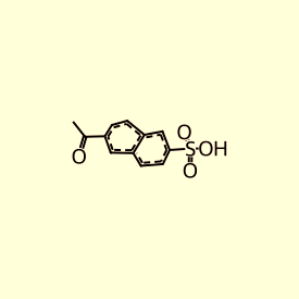 CC(=O)c1ccc2cc(S(=O)(=O)O)ccc2c1